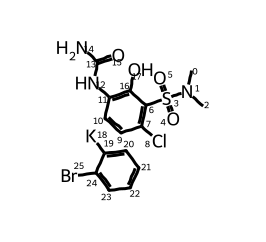 CN(C)S(=O)(=O)c1c(Cl)ccc(NC(N)=O)c1O.[K][c]1ccccc1Br